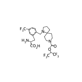 N[C@@H](Cc1cc(C(F)(F)F)ccc1CN1CCCC12CCN(C(=O)OC(C(F)(F)F)C(F)(F)F)CC2)C(=O)O